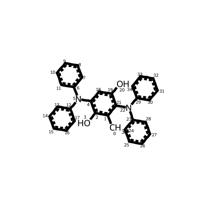 Cc1c(O)c(N(c2ccccc2)c2ccccc2)cc(O)c1N(c1ccccc1)c1ccccc1